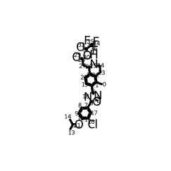 Cc1c(-c2noc(-c3ccc(OC(C)C)c(Cl)c3)n2)ccc2c1CCNC2CC(=O)OC(=O)C(F)(F)F